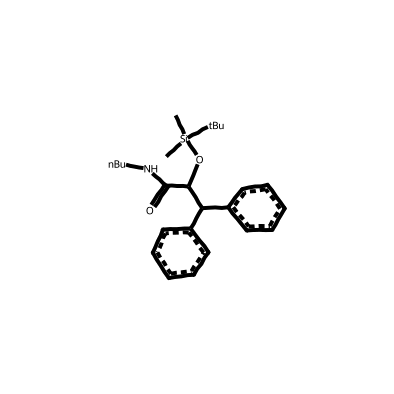 CCCCNC(=O)C(O[Si](C)(C)C(C)(C)C)C(c1ccccc1)c1ccccc1